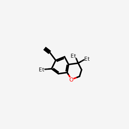 C#Cc1cc2c(cc1CC)OCCC2(CC)CC